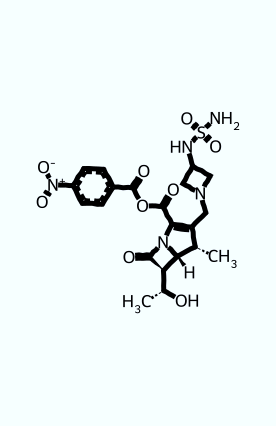 C[C@@H](O)[C@H]1C(=O)N2C(C(=O)OC(=O)c3ccc([N+](=O)[O-])cc3)=C(CN3CC(NS(N)(=O)=O)C3)[C@H](C)[C@H]12